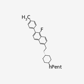 CCCCC[C@H]1CC[C@H](CCc2ccc3c(F)c(-c4ccc(C)cc4)ccc3c2)CC1